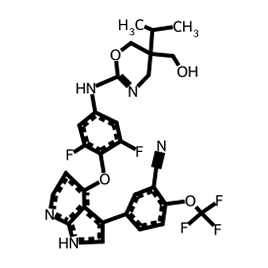 CC(C)C1(CO)CN=C(Nc2cc(F)c(Oc3ccnc4[nH]cc(-c5ccc(OC(F)(F)F)c(C#N)c5)c34)c(F)c2)OC1